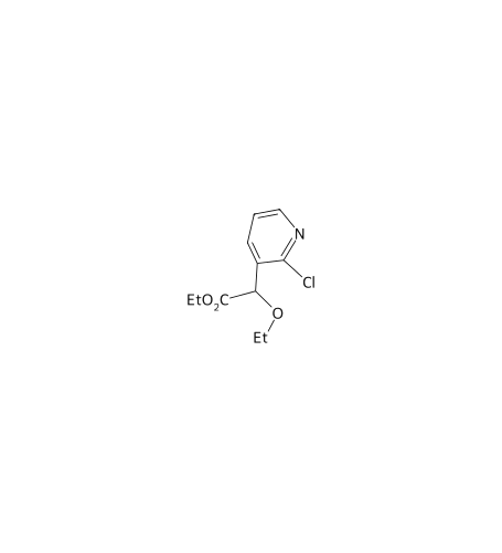 CCOC(=O)C(OCC)c1cccnc1Cl